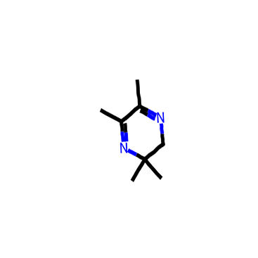 CC1=NCC(C)(C)N=C1C